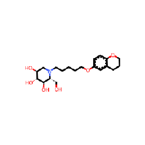 OC[C@@H]1[C@@H](O)[C@H](O)[C@@H](O)CN1CCCCCOc1ccc2c(c1)CCCO2